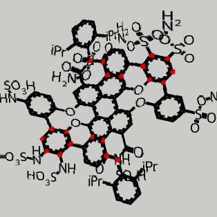 CC(C)c1cccc(C(C)C)c1N1C(=O)c2cc(Oc3ccc(NS(=O)(=O)O)cc3-c3ccc(NS(=O)(=O)O)cc3)c3c4c(Oc5ccc(NS(=O)(=O)O)cc5-c5ccc(NS(=O)(=O)O)cc5)cc5c6c(cc(Oc7ccc(S(=O)(=O)ON)cc7-c7ccc(S(=O)(=O)ON)cc7)c(c7c(Oc8ccc(S(=O)(=O)ON)cc8-c8ccc(S(=O)(=O)ON)cc8)cc(c2c37)C1=O)c64)C(=O)N(c1c(C(C)C)cccc1C(C)C)C5=O